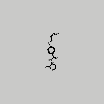 CCCCCCCCCCCCOc1ccc(C(=O)N[C@@H]2CCOC2=O)cc1